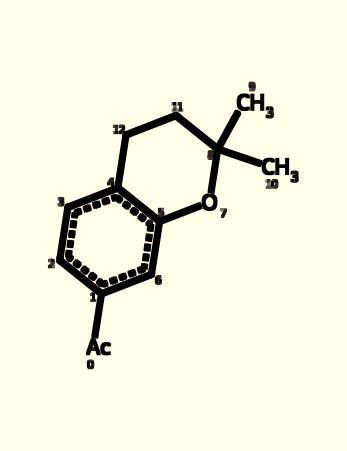 CC(=O)c1ccc2c(c1)OC(C)(C)CC2